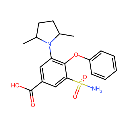 CC1CCC(C)N1c1cc(C(=O)O)cc(S(N)(=O)=O)c1Oc1ccccc1